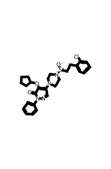 O=c1c(OC2CCCC2)c(N2CCN([S+]([O-])CCc3ccccc3Cl)CC2)cnn1-c1ccccc1